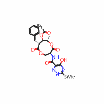 CSc1nnc(C(=O)N[C@H]2COC(=O)[C@H](Cc3ccccc3)[C@@H](OC(=O)C(C)C)[C@H](C)OC2=O)c(O)n1